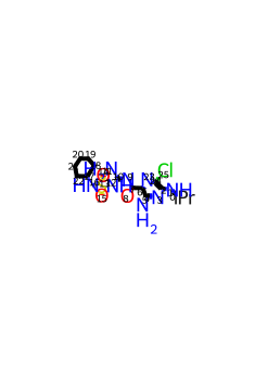 CC(C)Nc1nc(N)c(C(=O)/N=C(/N)NS(=O)(=O)NC2CCCCC2)nc1Cl